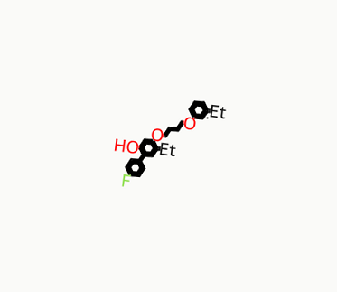 CCc1[c]c(OCCCCOc2cc(O)c(-c3ccc(F)cc3)cc2CC)ccc1